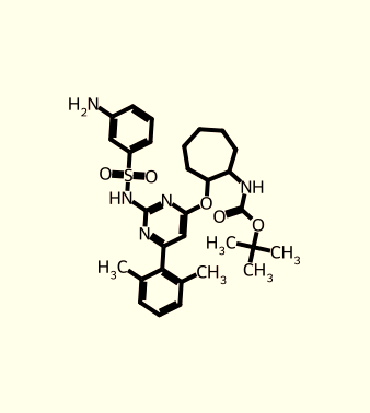 Cc1cccc(C)c1-c1cc(OC2CCCCCC2NC(=O)OC(C)(C)C)nc(NS(=O)(=O)c2cccc(N)c2)n1